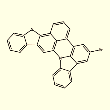 Brc1cc2c3cccc4c5sc6ccccc6c5cc(c34)n3c4ccccc4c(c1)c23